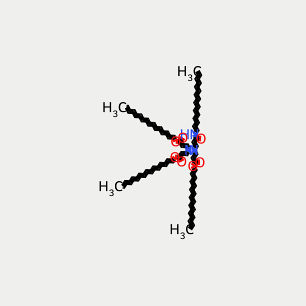 CCCCCCCCCCCCCCCCNC(=O)CCN(CCC(=O)OCCCCCCCCCCCCCCCC)N(CCC(=O)OCCCCCCCCCCCCCCCC)CCC(=O)OCCCCCCCCCCCCCCCC